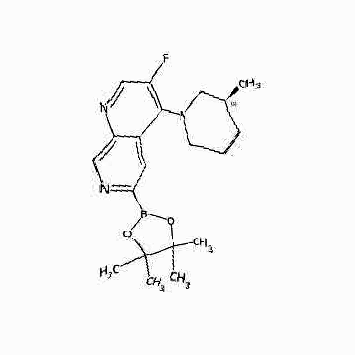 C[C@H]1CCCN(c2c(F)cnc3cnc(B4OC(C)(C)C(C)(C)O4)cc23)C1